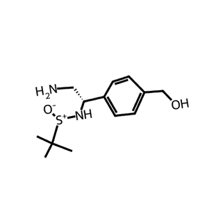 CC(C)(C)[S+]([O-])N[C@H](CN)c1ccc(CO)cc1